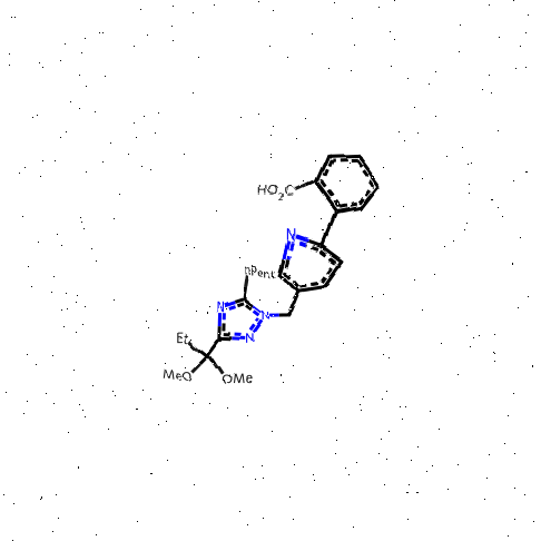 CCCCCc1nc(C(CC)(OC)OC)nn1Cc1ccc(-c2ccccc2C(=O)O)nc1